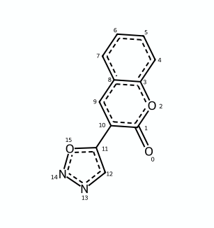 O=c1oc2ccccc2cc1-c1cnno1